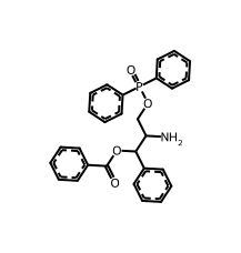 NC(COP(=O)(c1ccccc1)c1ccccc1)C(OC(=O)c1ccccc1)c1ccccc1